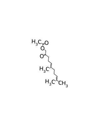 CC(=O)OCC(=O)CC/C=C(\C)CCC=C(C)C